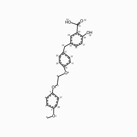 COc1ccc(OCCOc2ccc(Cc3ccc(O)c(C(=O)O)c3)cc2)cc1